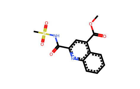 COC(=O)c1cc(C(=O)NS(C)(=O)=O)nc2ccccc12